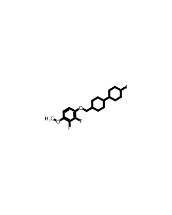 COc1ccc(OCC2CCC(C3CCC(I)CC3)CC2)c(F)c1F